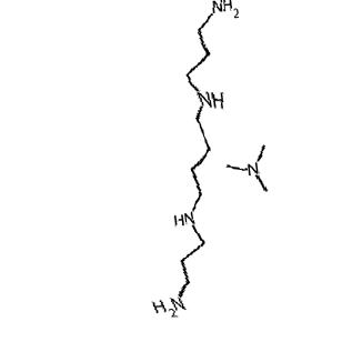 CN(C)C.NCCCNCCCCNCCCN